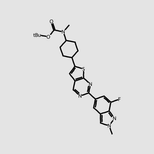 CN(C(=O)OC(C)(C)C)C1CCC(c2cc3cnc(-c4cc(F)c5nn(C)cc5c4)nc3s2)CC1